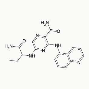 CCC(Nc1cnc(C(N)=O)c(Nc2cccc3ncccc23)n1)C(N)=O